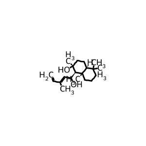 C=C/C(C)=C/C(O)[C@@H]1[C@@]2(C)CCCC(C)(C)[C@@H]2CC[C@@]1(C)O